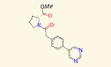 COC(=O)[C@H]1CCCN1C(=O)Cc1ccc(-c2cncnc2)cc1